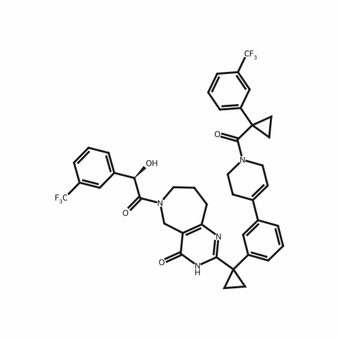 O=C([C@H](O)c1cccc(C(F)(F)F)c1)N1CCCc2nc(C3(c4cccc(C5=CCN(C(=O)C6(c7cccc(C(F)(F)F)c7)CC6)CC5)c4)CC3)[nH]c(=O)c2C1